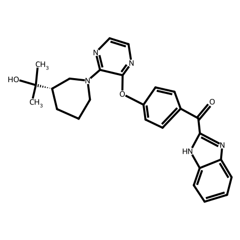 CC(C)(O)[C@H]1CCCN(c2nccnc2Oc2ccc(C(=O)c3nc4ccccc4[nH]3)cc2)C1